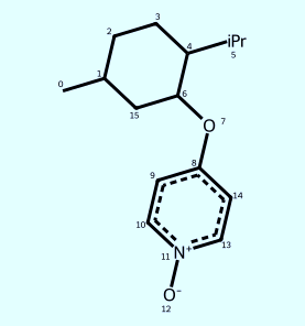 CC1CCC(C(C)C)C(Oc2cc[n+]([O-])cc2)C1